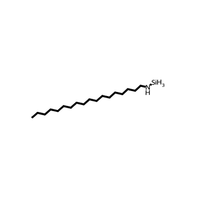 CCCCCCCCCCCCCCCCCCN[SiH3]